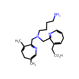 CC1=CN=C(CN(CCCCN)CC2=NC=CCC=C2CC(=O)O)C(C)=CC1